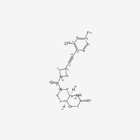 O=C1CO[C@H]2CCN(C(=O)N3CC(C#Cc4ccc(F)cc4Cl)C3)C[C@H]2N1